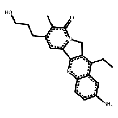 CCc1c2c(nc3ccc(N)cc13)-c1cc(CCCO)c(C)c(=O)n1C2